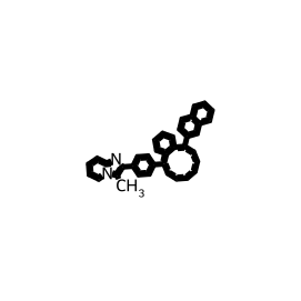 Cc1c(-c2ccc(-c3ccccccc(-c4ccc5ccccc5c4)c4ccccc34)cc2)nc2ccccn12